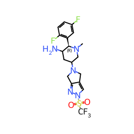 CN1CC(N2Cc3cn(S(=O)(=O)C(F)(F)F)nc3C2)CC(N)[C@H]1c1cc(F)ccc1F